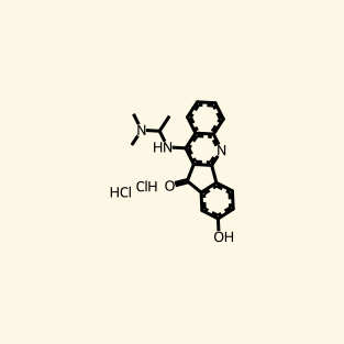 CC(Nc1c2c(nc3ccccc13)-c1ccc(O)cc1C2=O)N(C)C.Cl.Cl